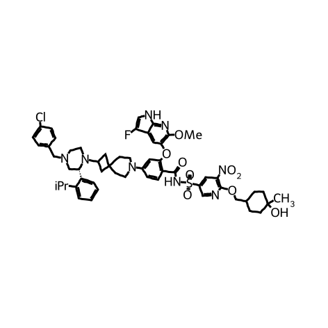 COc1nc2[nH]cc(F)c2cc1Oc1cc(N2CCC3(CC2)CC(N2CCN(Cc4ccc(Cl)cc4)C[C@H]2c2ccccc2C(C)C)C3)ccc1C(=O)NS(=O)(=O)c1cnc(OCC2CCC(C)(O)CC2)c([N+](=O)[O-])c1